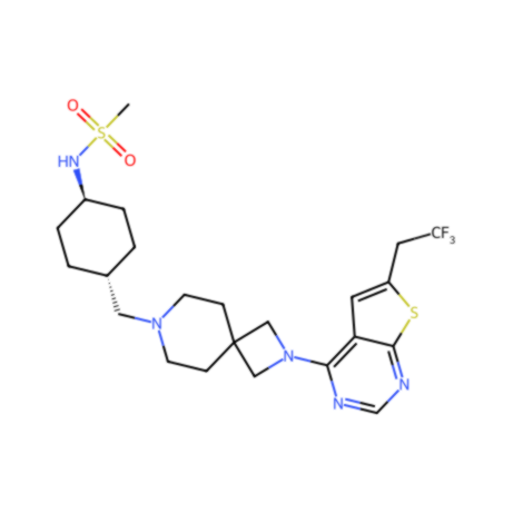 CS(=O)(=O)N[C@H]1CC[C@H](CN2CCC3(CC2)CN(c2ncnc4sc(CC(F)(F)F)cc24)C3)CC1